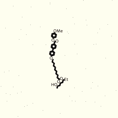 CCC1CC(CC(C)O)OC(CCCCCCCCCCOc2ccc(-c3ccc(C(=O)Oc4ccc(OC)cc4)cc3)cc2)O1